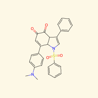 CN(C)c1ccc(C2=CC(=O)C(=O)C3C(c4ccccc4)=CN(S(=O)(=O)c4ccccc4)C23)cc1